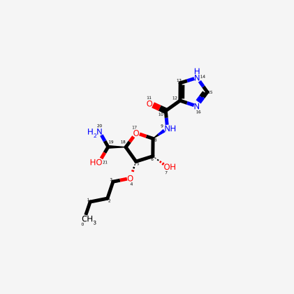 CCCCO[C@H]1[C@@H](O)[C@H](NC(=O)c2c[nH]cn2)O[C@@H]1C(N)O